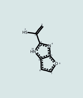 C=C(S)c1nc2occc2[nH]1